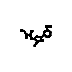 COc1cccc(C2NC(=O)C(OC(=O)NC(C)(C)C)S2)c1